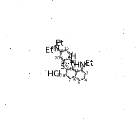 CCNc1cccc2ccc3c(c12)Nc1ccc(N(CC)CC)cc1S3.Cl